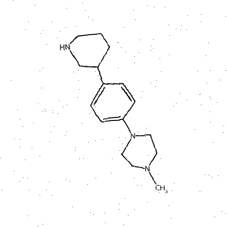 CN1CCN(c2ccc(C3CCCNC3)cc2)CC1